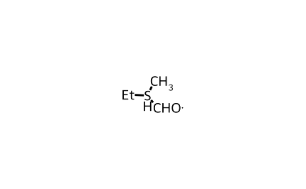 CC[SH](C)[C]=O